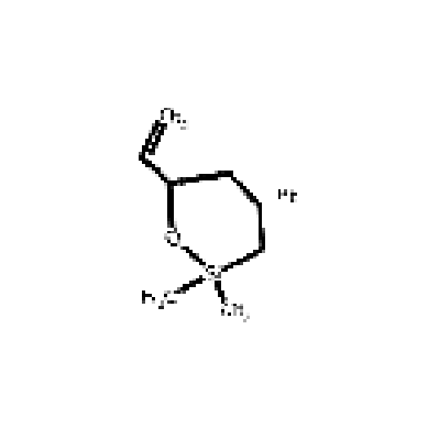 C=CC1CCC[Si](C)(C)O1.[Pt]